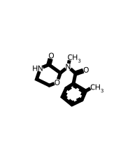 Cc1ccccc1C(=O)N(C)C1OCCNC1=O